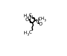 CCCCc1cc(=O)n(C)cc1N(C)C=O